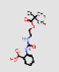 CCC(C)(C)C(=O)OCCNC(=O)Nc1ccccc1C(O)O